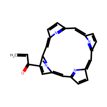 C=CC(=O)C1=CC2=CC3=NC(=CC4=NC(=CC5=NC(=CC1=N2)C=C5)C=C4)C=C3